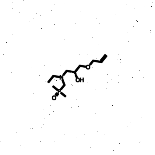 C=CCOCC(O)CN(CC)CP(C)(C)=O